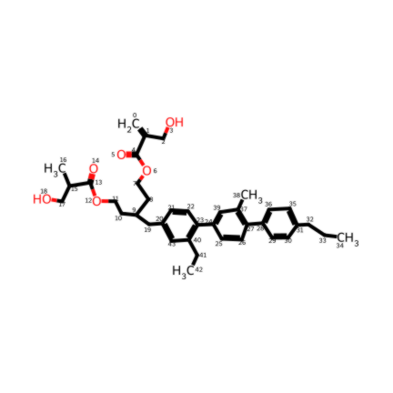 C=C(CO)C(=O)OCCC(CCOC(=O)C(C)CO)Cc1ccc(-c2ccc(-c3ccc(CCC)cc3)c(C)c2)c(CC)c1